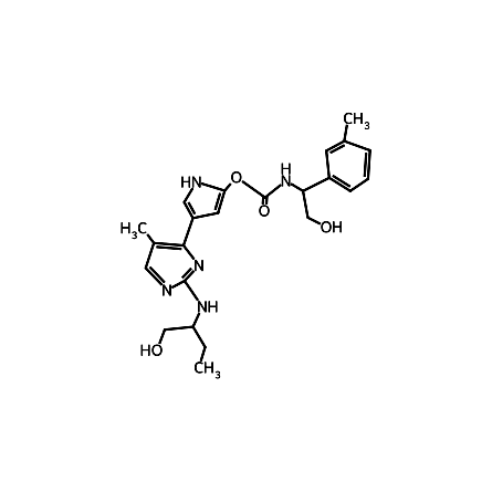 CCC(CO)Nc1ncc(C)c(-c2c[nH]c(OC(=O)NC(CO)c3cccc(C)c3)c2)n1